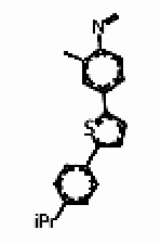 C=Nc1ccc(-c2ccc(-c3ccc(C(C)C)cc3)s2)cc1C